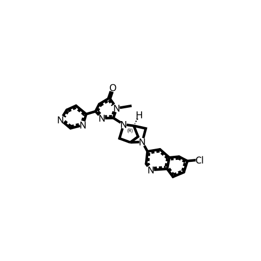 Cn1c(N2CC3C[C@@H]2CN3c2cnc3ccc(Cl)cc3c2)nc(-c2ccncn2)cc1=O